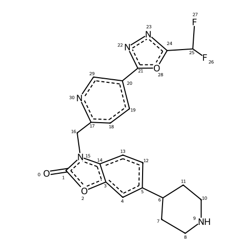 O=c1oc2cc(C3CCNCC3)ccc2n1Cc1ccc(-c2nnc(C(F)F)o2)cn1